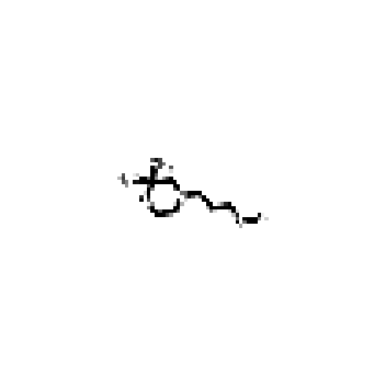 CCOCCCN1CCOC(C)(C)C1